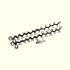 CCCCCCCCCC=CC=CC=CC=CC=CC=CC(=O)[O-].CCCCCCCCCC=CC=CC=CC=CC=CC=CC(=O)[O-].[Zn+2]